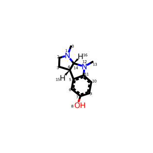 CN1CC[C@H]2c3cc(O)ccc3N(C)[C@H]21